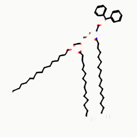 CCCCCCCCCCCCCCCCCC(=O)N[C@H](CSC[C@@H](COC(=O)CCCCCCCCCCCCCCC)OC(=O)CCCCCCCCCCCCCCC)C(=O)OC(c1ccccc1)c1ccccc1